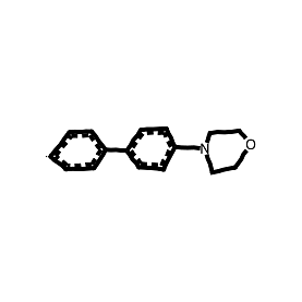 [c]1ccc(-c2ccc(N3CCOCC3)cc2)cc1